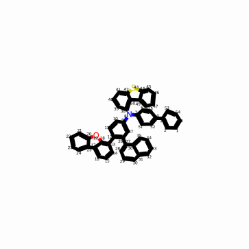 c1ccc(-c2ccc(N(c3ccc(-c4cccc5c4oc4ccccc45)c(-c4cccc5ccccc45)c3)c3cccc4sc5ccccc5c34)cc2)cc1